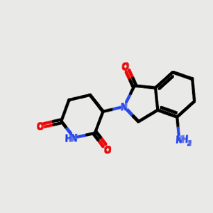 NC1=C2CN(C3CCC(=O)NC3=O)C(=O)C2=CCC1